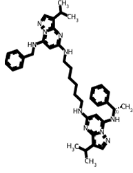 CC(C)c1cnn2c(NCc3ccccc3)cc(NCCCCCCNc3cc(N[C@@H](C)c4ccccc4)n4ncc(C(C)C)c4n3)nc12